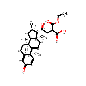 CCOC(=O)C(CC(=O)[C@H]1[C@H](C)C[C@H]2[C@@H]3CCC4=CC(=O)C=C[C@]4(C)C3=CC[C@@]21C)C(=O)O